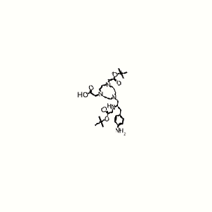 CC(C)(C)OC(=O)CNC(Cc1ccc(N)cc1)CN1CCN(CC(=O)O)CCN(CC(=O)OC(C)(C)C)CC1